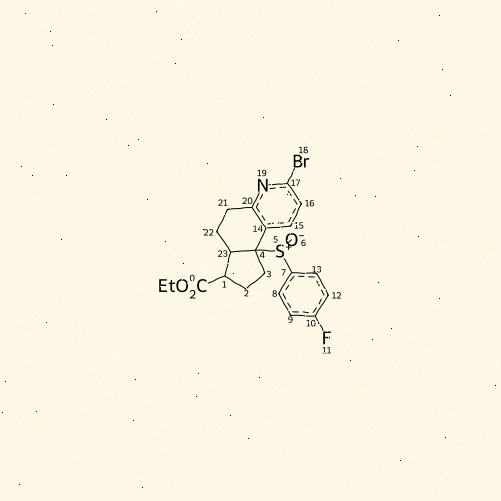 CCOC(=O)C1CCC2([S+]([O-])c3ccc(F)cc3)c3ccc(Br)nc3CCC12